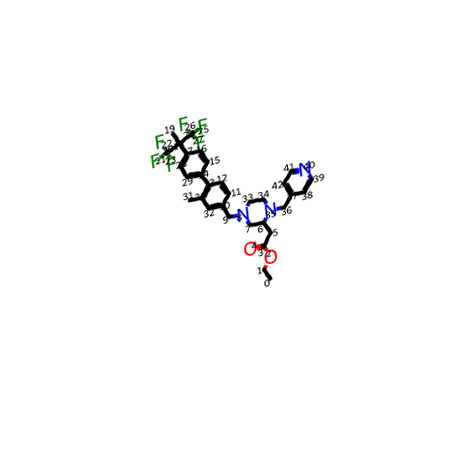 CCOC(=O)CC1CN(Cc2ccc(-c3ccc(C(C)(C(F)(F)F)C(F)(F)F)cc3)c(C)c2)CCN1Cc1ccncc1